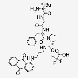 CC[C@H](C)[C@H](N)C(=O)NCC(=O)N[C@@H](Cc1ccccc1)C(=O)N1CCC[C@@H]1C(=O)NCCCNc1cccc2c1C(=O)c1ccccc1C2=O.O=C(O)C(F)(F)F